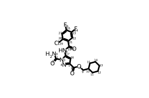 NC(=O)n1nc(C(=O)OCC2CCCCC2)cc1NC(=O)c1cc(F)c(F)cc1Cl